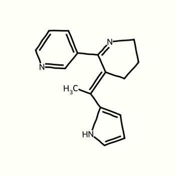 CC(=C1CCCN=C1c1cccnc1)c1ccc[nH]1